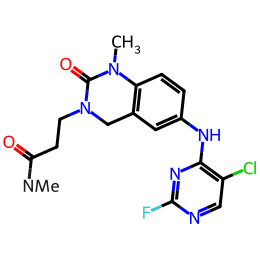 CNC(=O)CCN1Cc2cc(Nc3nc(F)ncc3Cl)ccc2N(C)C1=O